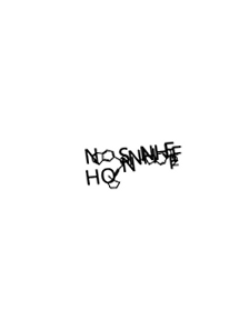 N[C@H](CNc1nc(C#CC2(O)CCCC2)c(-c2ccc3cnccc3c2)s1)Cc1ccc(C(F)(F)F)cc1